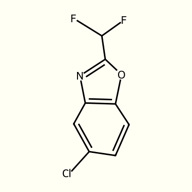 FC(F)c1nc2cc(Cl)ccc2o1